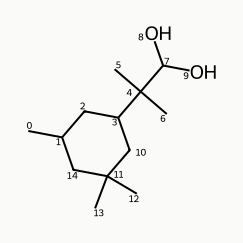 CC1CC(C(C)(C)C(O)O)CC(C)(C)C1